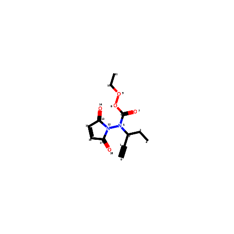 C#CC(CC)N(C(=O)OOCC)N1C(=O)C=CC1=O